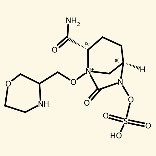 NC(=O)[C@@H]1CC[C@@H]2C[N+]1(OCC1COCCN1)C(=O)N2OS(=O)(=O)O